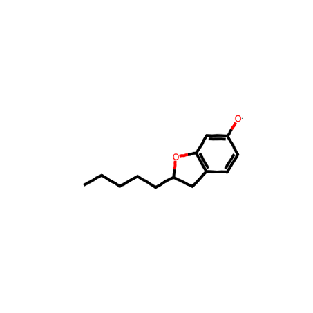 CCCCCC1Cc2ccc([O])cc2O1